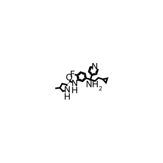 CC1CN[C@@H](C(=O)Nc2cc(C(N)(CCC3CC3)c3ccncc3)ccc2F)C1